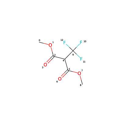 COC(=O)C(C(=O)OC)C(F)(F)F